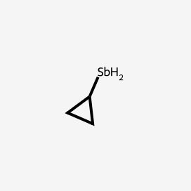 [SbH2][CH]1CC1